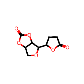 O=C1CCC(C2OCC3OC(=O)OC32)O1